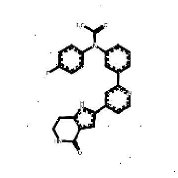 O=C1NCCc2[nH]c(-c3ccnc(-c4cccc(N(C(=O)C(F)(F)F)c5ccc(F)cc5)c4)c3)cc21